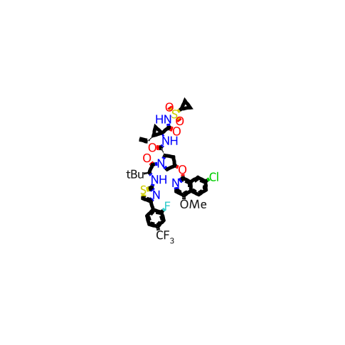 C=C[C@@H]1C[C@]1(NC(=O)[C@@H]1CC(Oc2ncc(OC)c3ccc(Cl)cc23)CN1C(=O)[C@@H](Nc1nc(-c2ccc(C(F)(F)F)cc2F)cs1)C(C)(C)C)C(=O)NS(=O)(=O)C1CC1